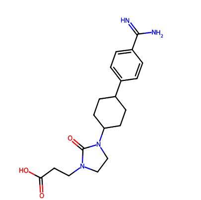 N=C(N)c1ccc(C2CCC(N3CCN(CCC(=O)O)C3=O)CC2)cc1